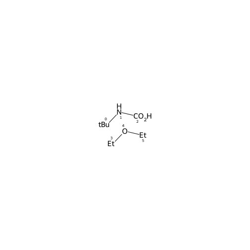 CC(C)(C)NC(=O)O.CCOCC